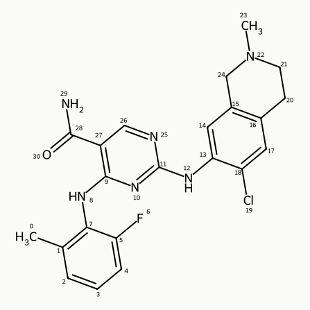 Cc1cccc(F)c1Nc1nc(Nc2cc3c(cc2Cl)CCN(C)C3)ncc1C(N)=O